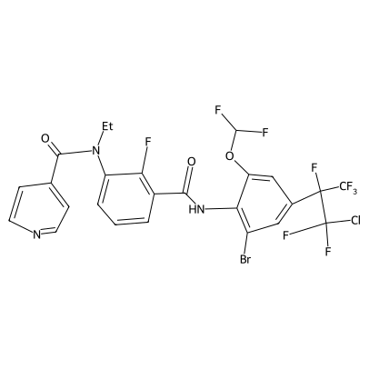 CCN(C(=O)c1ccncc1)c1cccc(C(=O)Nc2c(Br)cc(C(F)(C(F)(F)F)C(F)(F)Cl)cc2OC(F)F)c1F